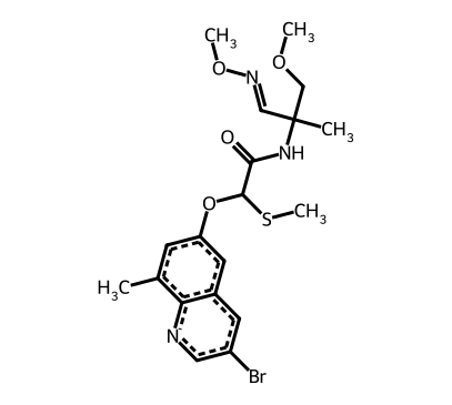 COCC(C)(C=NOC)NC(=O)C(Oc1cc(C)c2ncc(Br)cc2c1)SC